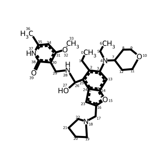 CCc1c(N(CC)C2CCOCC2)cc2oc(CN3CCCC3)cc2c1C(O)NCc1c(OC)cc(C)[nH]c1=O